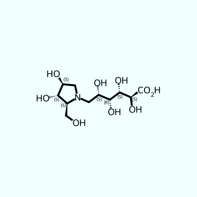 O=C(O)[C@@H](O)[C@@H](O)[C@H](O)[C@@H](O)CN1C[C@H](O)[C@@H](O)[C@@H]1CO